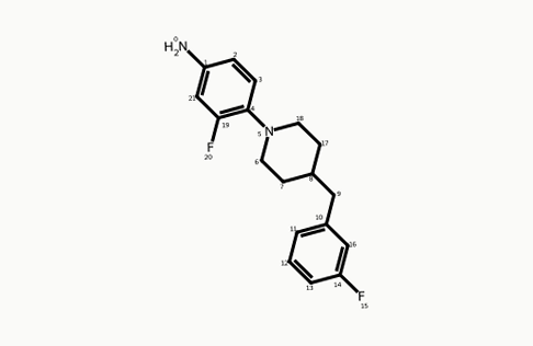 Nc1ccc(N2CCC(Cc3cccc(F)c3)CC2)c(F)c1